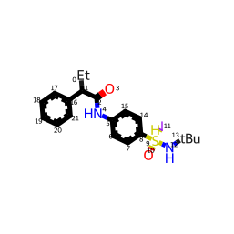 CCC(C(=O)Nc1ccc([SH](=O)(I)NC(C)(C)C)cc1)c1ccccc1